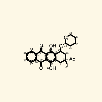 CC(=O)[C@]1(I)Cc2c(O)c3c(c(O)c2C(O[C@H]2CCCCO2)C1)C(=O)c1ccccc1C3=O